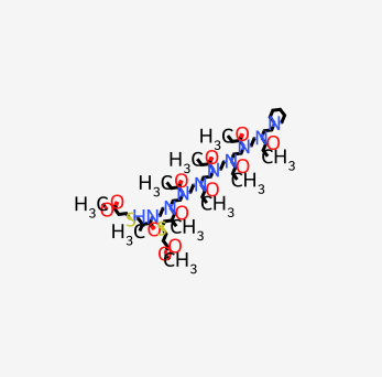 CCC(=O)N(CCN1CCCCC1)CCN(CCN(CCN(CCN(CCN(CCN(CCNC(=O)C(C)CSCCC(=O)OC)C(=O)C(C)CSCCC(=O)OC)C(=O)CC)C(=O)CC)C(=O)CC)C(=O)CC)C(=O)CC